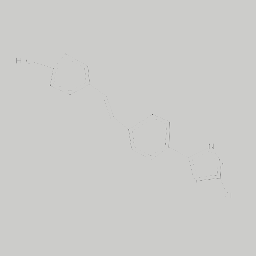 Cc1ccc(C=Cc2ccc(-c3nnc(C)o3)cc2)cc1